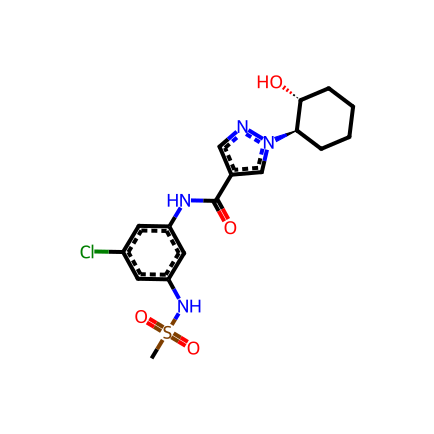 CS(=O)(=O)Nc1cc(Cl)cc(NC(=O)c2cnn([C@@H]3CCCC[C@H]3O)c2)c1